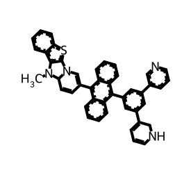 CN1c2c(sc3ccccc23)N2C=C(c3c4ccccc4c(-c4cc(C5=CC=CNC5)cc(-c5cccnc5)c4)c4ccccc34)C=CC12